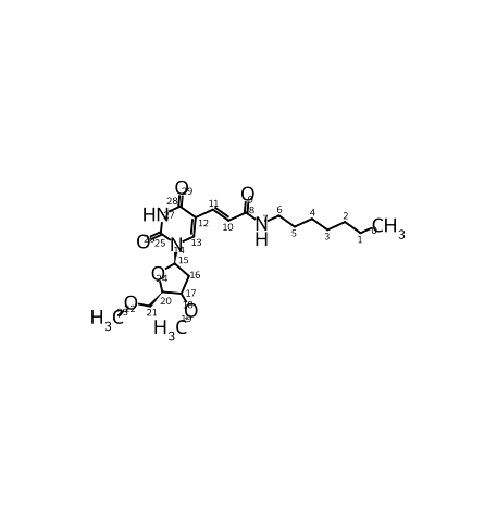 CCCCCCCNC(=O)/C=C/c1cn([C@H]2CC(OC)[C@@H](COC)O2)c(=O)[nH]c1=O